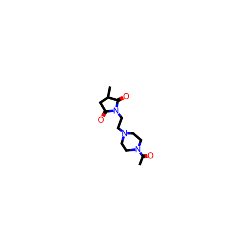 CC(=O)N1CCN(CCN2C(=O)CC(C)C2=O)CC1